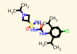 CC(C)c1cc(Cl)cc(C(C)C)c1NC(=O)NS(=N)(=O)C1CN(C(C)C)C1